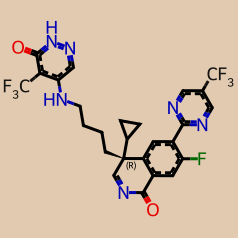 O=C1N=C[C@](CCCCNc2cn[nH]c(=O)c2C(F)(F)F)(C2CC2)c2cc(-c3ncc(C(F)(F)F)cn3)c(F)cc21